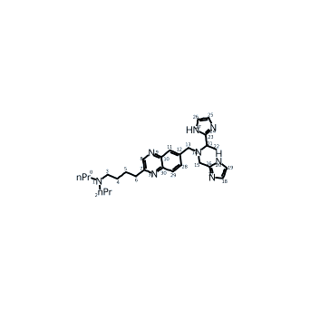 CCCN(CCC)CCCCc1cnc2cc(CN(Cc3ncc[nH]3)C(C)c3ncc[nH]3)ccc2n1